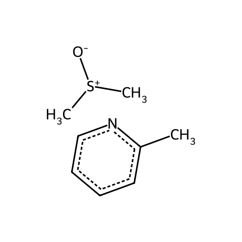 C[S+](C)[O-].Cc1ccccn1